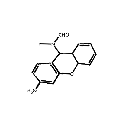 Nc1ccc2c(c1)OC1C=CC=CC1C2N(I)C=O